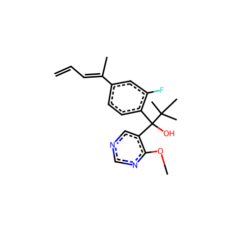 C=C/C=C(\C)c1ccc(C(O)(c2cncnc2OC)C(C)(C)C)c(F)c1